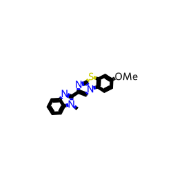 COc1ccc2c(c1)sc1nc(-c3nc4ccccc4n3C)cn12